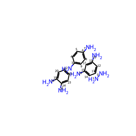 NN.Nc1ccc(N)cc1.Nc1cccc(N)c1.Nc1ccccc1N